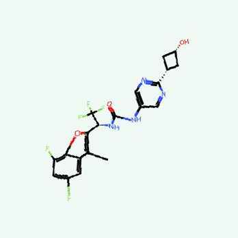 Cc1c([C@H](NC(=O)Nc2cnc([C@H]3C[C@@H](O)C3)nc2)C(F)(F)F)oc2c(F)cc(F)cc12